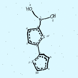 OB(O)c1ccc(-c2cccs2)s1